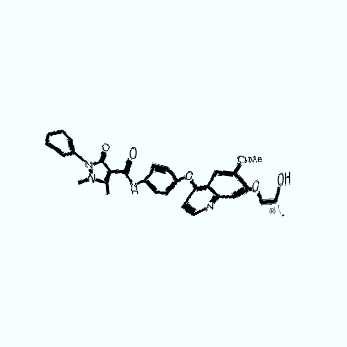 COc1cc2c(Oc3ccc(NC(=O)c4c(C)n(C)n(-c5ccccc5)c4=O)cc3)ccnc2cc1OC[C@@H](C)O